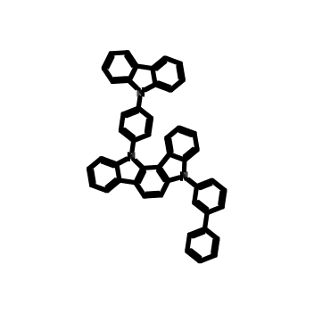 c1ccc(-c2cccc(-n3c4ccccc4c4c3ccc3c5ccccc5n(-c5ccc(-n6c7ccccc7c7ccccc76)cc5)c34)c2)cc1